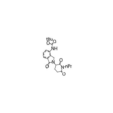 CCCN1C(=O)CCC(N2Cc3c(NC(=O)OC(C)(C)C)cccc3C2=O)C1=O